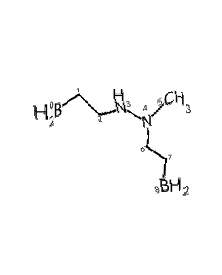 BCCNN(C)CCB